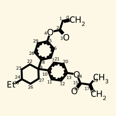 C=CC(=O)Oc1ccc(C2(c3ccc(OC(=O)C(=C)C)cc3)CCC(CC)CC2)cc1